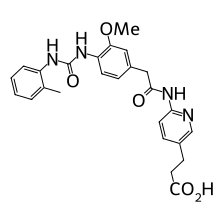 COc1cc(CC(=O)Nc2ccc(CCC(=O)O)cn2)ccc1NC(=O)Nc1ccccc1C